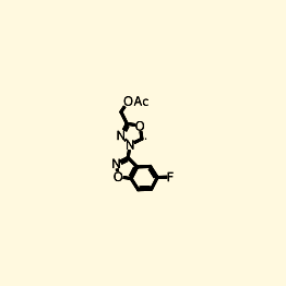 CC(=O)OCC1=NN(c2noc3ccc(F)cc23)[CH]O1